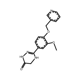 COc1cc(C2=NNC(=O)CN2)ccc1OCc1cccnc1